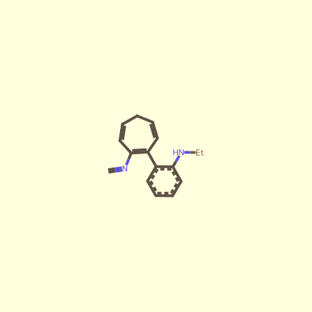 C=NC1=C(c2ccccc2NCC)C=CCC=C1